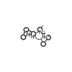 C=C1C2C(CCc3nc4c(cc3-c3ccc(C)c[n+]31)c1cccc3c5ccccc5n4c31)c1ccccc1-c1cccc[n+]12